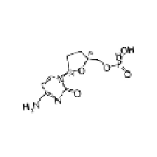 Nc1ccn([C@H]2CC[C@@H](CO[PH](=O)O)O2)c(=O)n1